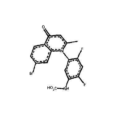 Cc1cc(=O)c2ccc(Br)cc2n1-c1cc(NC(=O)O)c(F)cc1F